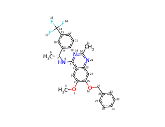 COc1cc2c(N[C@H](C)c3cccc(C(F)(F)F)c3)nc(C)nc2cc1OCc1ccccc1